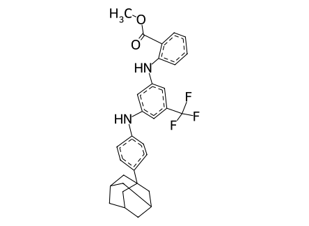 COC(=O)c1ccccc1Nc1cc(Nc2ccc(C34CC5CC(CC(C5)C3)C4)cc2)cc(C(F)(F)F)c1